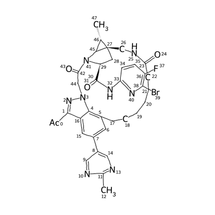 CC(=O)c1nn2c3c(cc(-c4cnc(C)nc4)cc13)CCCCCCC(=O)NC[C@@]13C[C@@H](C(=O)Nc4ccc(F)c(Br)n4)N(C(=O)C2)C1[C@@H]3C